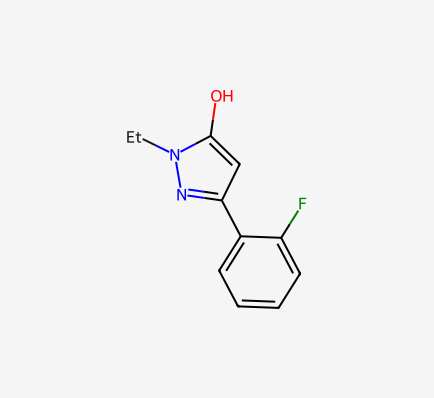 CCn1nc(-c2ccccc2F)cc1O